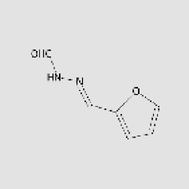 O=[C]N/N=C/c1ccco1